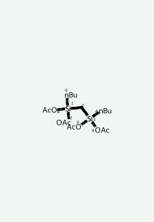 CCCC[Si](C[Si](CCCC)(OC(C)=O)OC(C)=O)(OC(C)=O)OC(C)=O